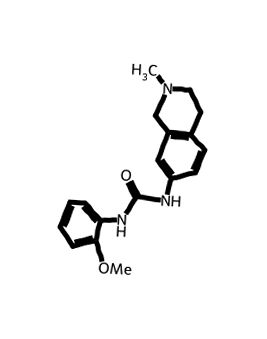 COc1ccccc1NC(=O)Nc1ccc2c(c1)CN(C)CC2